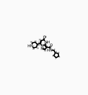 O=C(NCC1CCCC1)c1cnn2c(C3CCNCC3)cc(=O)[nH]c12